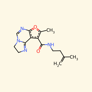 C=C(C)CCNC(=O)c1c(C)oc2c1C1=NCCN1C=N2